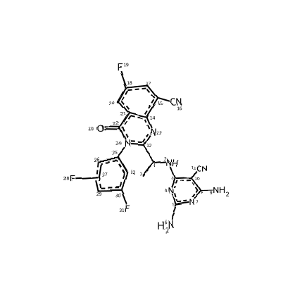 CC(Nc1nc(N)nc(N)c1C#N)c1nc2c(C#N)cc(F)cc2c(=O)n1-c1cc(F)cc(F)c1